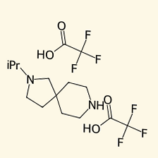 CC(C)N1CCC2(CCNCC2)C1.O=C(O)C(F)(F)F.O=C(O)C(F)(F)F